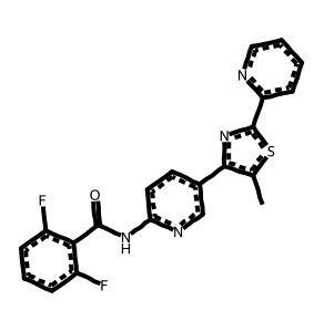 Cc1sc(-c2ccccn2)nc1-c1ccc(NC(=O)c2c(F)cccc2F)nc1